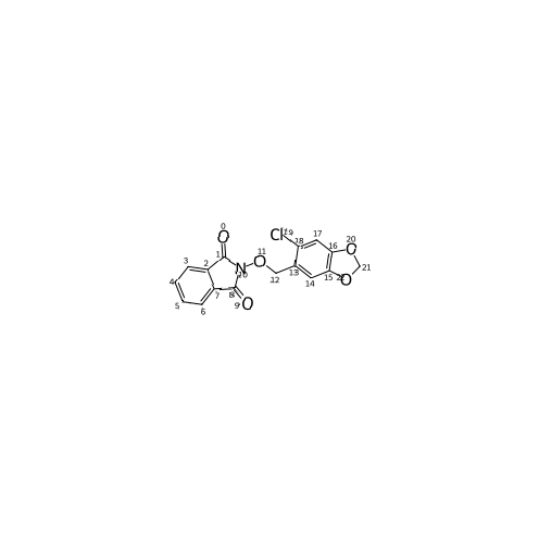 O=C1c2ccccc2C(=O)N1OCc1cc2c(cc1Cl)OCO2